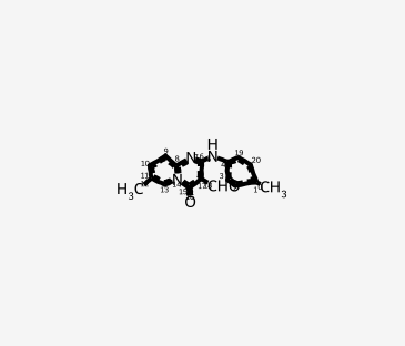 Cc1ccc(Nc2nc3ccc(C)cn3c(=O)c2C=O)cc1